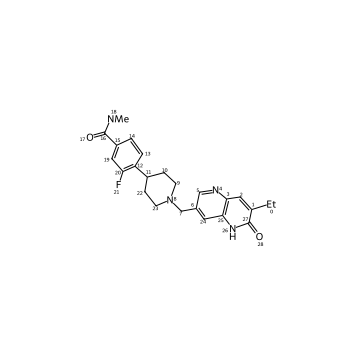 CCc1cc2ncc(CN3CCC(c4ccc(C(=O)NC)cc4F)CC3)cc2[nH]c1=O